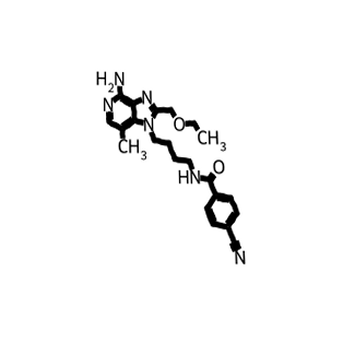 CCOCc1nc2c(N)ncc(C)c2n1CCCCNC(=O)c1ccc(C#N)cc1